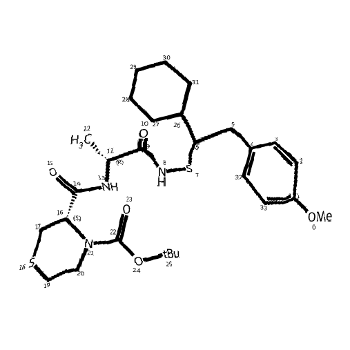 COc1ccc(CC(SNC(=O)[C@@H](C)NC(=O)[C@H]2CSCCN2C(=O)OC(C)(C)C)C2CCCCC2)cc1